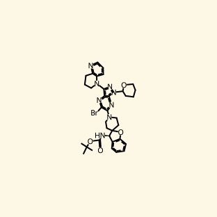 CC(C)(C)OC(=O)N[C@@H]1c2ccccc2OC12CCN(c1nc3c(nc1Br)c(N1CCCc4ncccc41)nn3C1CCCCO1)CC2